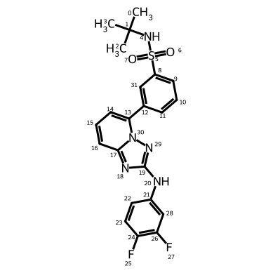 CC(C)(C)NS(=O)(=O)c1cccc(-c2cccc3nc(Nc4ccc(F)c(F)c4)nn23)c1